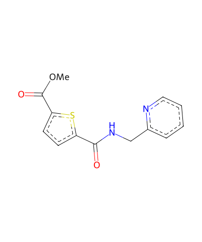 COC(=O)c1ccc(C(=O)NCc2ccccn2)s1